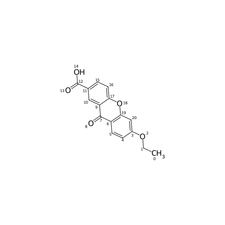 CCOc1ccc2c(=O)c3cc(C(=O)O)ccc3oc2c1